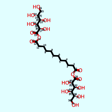 O=C(CCCCCCCCCCC(=O)OC(=O)[C@H](O)[C@@H](O)[C@H](O)[C@H](O)CO)OC(=O)[C@H](O)[C@@H](O)[C@H](O)[C@H](O)CO